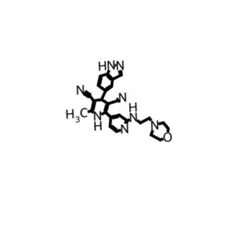 CC1=C(C#N)C(c2ccc3[nH]ncc3c2)C(C#N)=C(c2ccnc(NCCN3CCOCC3)c2)N1